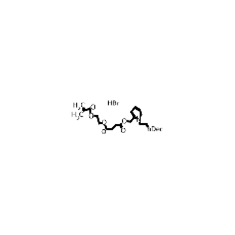 Br.C=C(C)C(=O)OCCOC(=O)CCC(=O)OCC1=CC=CCN1CCCCCCCCCCCC